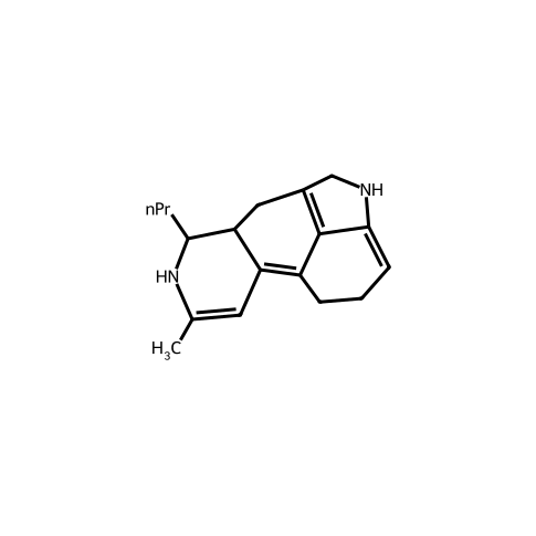 CCCC1NC(C)=CC2=C3CCC=C4NCC(=C43)CC21